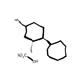 CCCC1CC[C@@H](C2CCCCC2)[C@H](C)C1.O=C(O)O